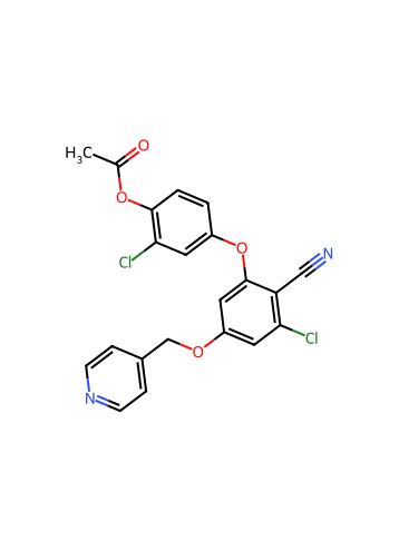 CC(=O)Oc1ccc(Oc2cc(OCc3ccncc3)cc(Cl)c2C#N)cc1Cl